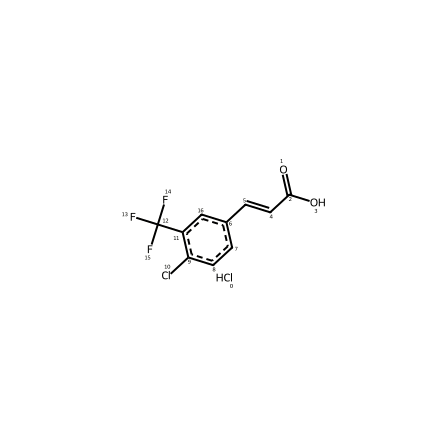 Cl.O=C(O)C=Cc1ccc(Cl)c(C(F)(F)F)c1